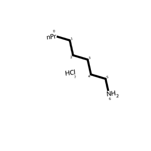 CCCCCCCCN.Cl